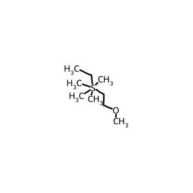 CCS(C)(C)(C)(C)CCOC